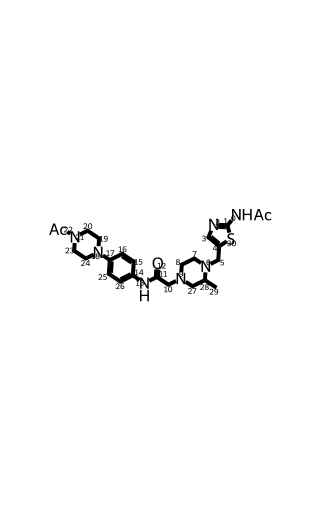 CC(=O)Nc1ncc(CN2CCN(CC(=O)Nc3ccc(N4CCN(C(C)=O)CC4)cc3)CC2C)s1